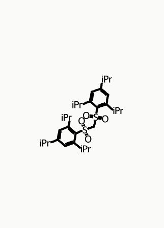 CC(C)c1cc(C(C)C)c(S(=O)(=O)CS(=O)(=O)c2c(C(C)C)cc(C(C)C)cc2C(C)C)c(C(C)C)c1